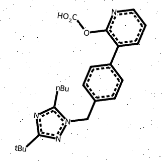 CCCCc1nc(C(C)(C)C)nn1Cc1ccc(-c2cccnc2OC(=O)O)cc1